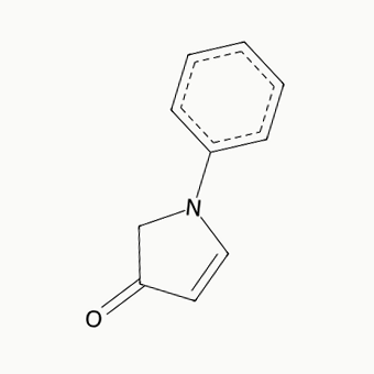 O=C1C=CN(c2ccccc2)C1